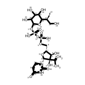 C=C(C)[C@@]1(O)[C@H](O)[C@@H](COP(=O)(S)OP(=O)(O)OC2OC([C@@H](F)CO)C(O)C(O)C2O)O[C@H]1n1ccc(=O)[nH]c1=O